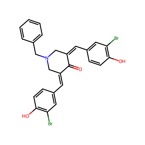 O=C1C(=Cc2ccc(O)c(Br)c2)CN(Cc2ccccc2)CC1=Cc1ccc(O)c(Br)c1